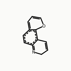 C1=COc2c3c(ccc2=C1)=NCC=C3